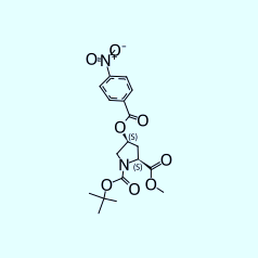 COC(=O)[C@@H]1C[C@H](OC(=O)c2ccc([N+](=O)[O-])cc2)CN1C(=O)OC(C)(C)C